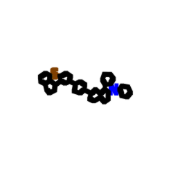 c1ccc(-n2c3ccccc3c3c4cc(-c5ccc(-c6ccc7c(c6)-c6cccc8cccc(c68)S7)cc5)ccc4ccc32)cc1